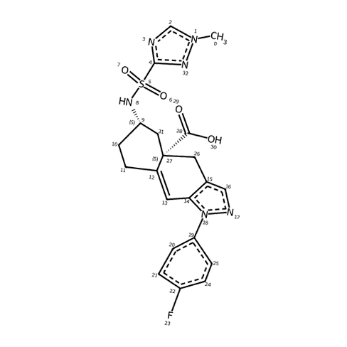 Cn1cnc(S(=O)(=O)N[C@H]2CCC3=Cc4c(cnn4-c4ccc(F)cc4)C[C@]3(C(=O)O)C2)n1